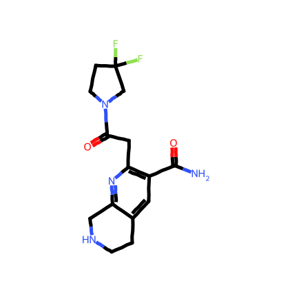 NC(=O)c1cc2c(nc1CC(=O)N1CCC(F)(F)C1)CNCC2